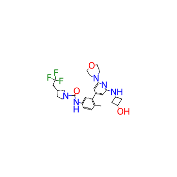 Cc1ccc(NC(=O)N2CC[C@@H](CC(F)(F)F)C2)cc1-c1cc(N[C@H]2C[C@@H](O)C2)nc(N2CCOCC2)c1